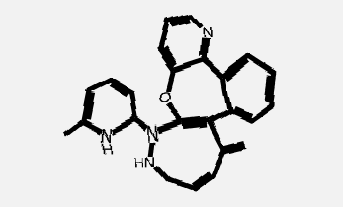 C=C1/C=C\CNN(C2C=CC=C(C)N2)C2=C1c1ccccc1-c1ncccc1O2